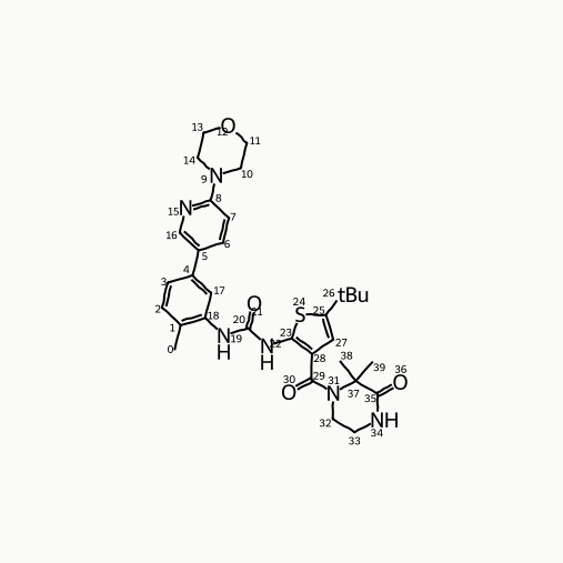 Cc1ccc(-c2ccc(N3CCOCC3)nc2)cc1NC(=O)Nc1sc(C(C)(C)C)cc1C(=O)N1CCNC(=O)C1(C)C